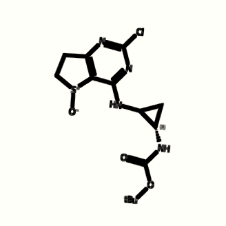 CC(C)(C)OC(=O)N[C@H]1CC1Nc1nc(Cl)nc2c1[S+]([O-])CC2